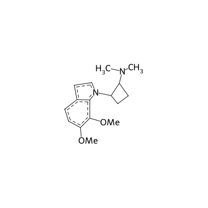 COc1ccc2ccn(C3CCC3N(C)C)c2c1OC